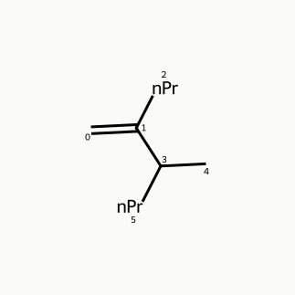 C=C(CCC)C(C)CCC